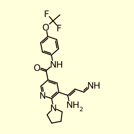 CC(F)(F)Oc1ccc(NC(=O)c2cnc(N3CCCC3)c(/C(N)=C/C=N)c2)cc1